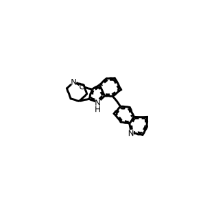 c1cnc2ccc(-c3cccc4c5c([nH]c34)C3CCN(CC3)C5)cc2c1